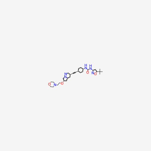 CC(C)(C)c1cc(NC(=O)Nc2ccc(C#Cc3cnn4cc(OCCN5CCOCC5)cc4c3)cc2)no1